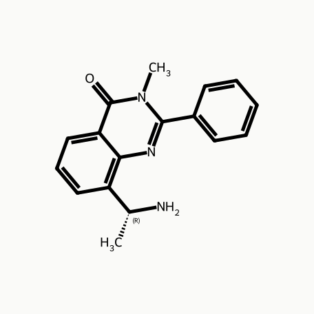 C[C@@H](N)c1cccc2c(=O)n(C)c(-c3ccccc3)nc12